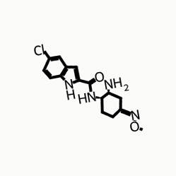 CON=C1CC[C@@H](NC(=O)c2cc3cc(Cl)ccc3[nH]2)[C@@H](N)C1